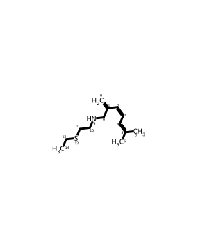 C=C(/C=C\C=C(C)C)CNCCSCC